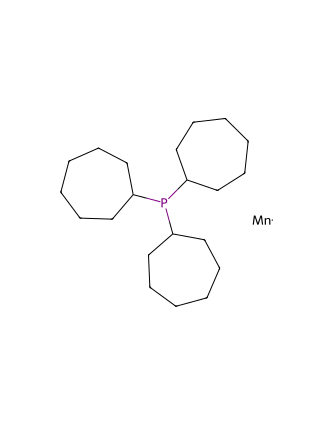 C1CCCC(P(C2CCCCCC2)C2CCCCCC2)CC1.[Mn]